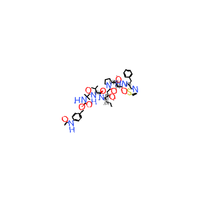 CC[C@H](C)[C@@H]([C@@H](CC(=O)N1CCC[C@H]1[C@H](OC)[C@@H](C)C(=O)N[C@@H](Cc1ccccc1)c1nccs1)OC)N(C)C(=O)[C@@H](NC(=O)C(C)(C)NC(=O)OCc1ccc(NC(C)=O)cc1)C(C)C